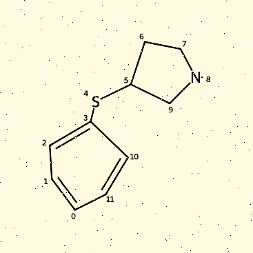 c1ccc(SC2CC[N]C2)cc1